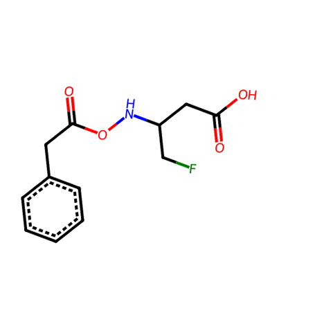 O=C(O)CC(CF)NOC(=O)Cc1ccccc1